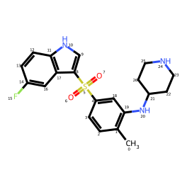 Cc1ccc(S(=O)(=O)c2c[nH]c3ccc(F)cc23)cc1NC1CCNCC1